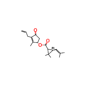 C=CCC1=C(C)C(OC(=O)C2[C@@H](C=C(C)C)C2(C)C)CC1=O